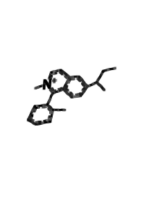 CCC(C)c1ccc2c(-c3ccccc3C)[n+](C)ccc2c1